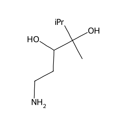 CC(C)C(C)(O)C(O)CCN